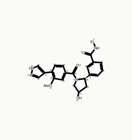 CCNC(=O)c1cccc([C@H]2CC(O)CN2C(=O)c2ccc(-c3cn[nH]c3)c(OC)c2)c1